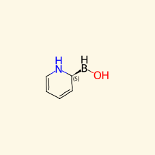 OB[C@H]1C=CC=CN1